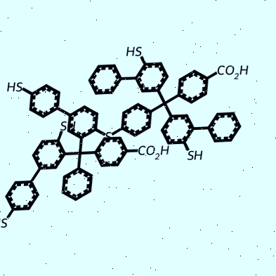 O=C(O)c1ccc(C(c2ccc(Sc3ccc(-c4ccc(S)cc4)cc3C(c3ccccc3)(c3ccc(C(=O)O)cc3)c3cc(-c4ccc(S)cc4)ccc3S)cc2)(c2ccc(S)c(-c3ccccc3)c2)c2ccc(S)c(-c3ccccc3)c2)cc1